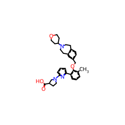 Cc1cccc(-c2cccc(N3CCC(C(=O)O)C3)n2)c1OCc1ccc2c(c1)CCN(C1CCOCC1)CC2